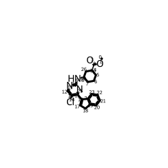 COC(=O)[C@H]1CCC[C@@H](Nc2ncc(Cl)c(C3=CCc4ccccc43)n2)C1